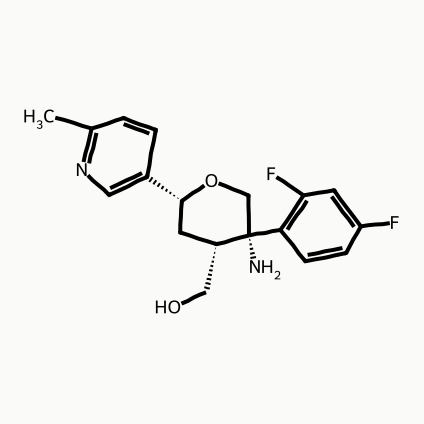 Cc1ccc([C@H]2C[C@@H](CO)[C@](N)(c3ccc(F)cc3F)CO2)cn1